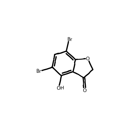 O=C1COc2c(Br)cc(Br)c(O)c21